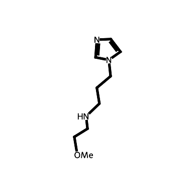 COCCNCCCn1ccnc1